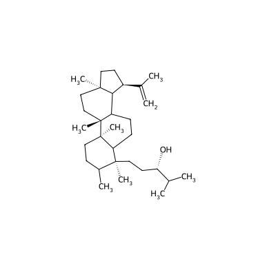 C=C(C)[C@@H]1CC[C@]2(C)CC[C@]3(C)C(CCC4[C@@](C)(CC[C@H](O)C(C)C)C(C)CC[C@]43C)C12